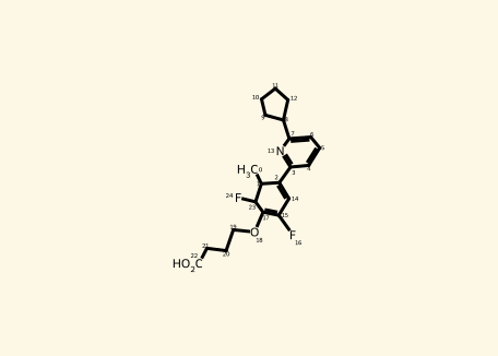 CC1C(c2cccc(C3CCCC3)n2)=CC(F)=C(OCCCC(=O)O)C1F